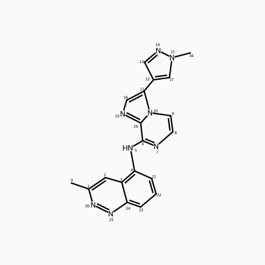 Cc1cc2c(Nc3nccn4c(-c5cnn(C)c5)cnc34)cccc2nn1